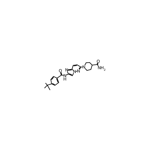 CC(C)(C)c1ccc(C(=O)Nc2cn3nc(N4CCC(C(N)=O)CC4)ccc3n2)cc1